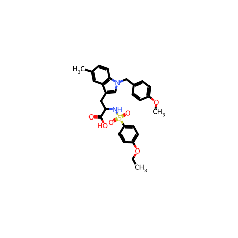 CCOc1ccc(S(=O)(=O)NC(Cc2cn(Cc3ccc(OC)cc3)c3ccc(C)cc23)C(=O)O)cc1